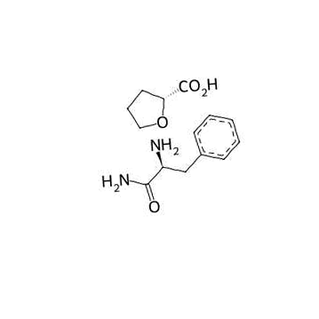 NC(=O)[C@@H](N)Cc1ccccc1.O=C(O)[C@H]1CCCO1